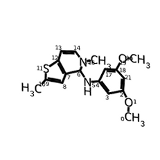 COc1cc(NC2c3cc(C)sc3C=CN2C)cc(OC)c1